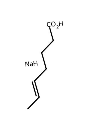 CC=CCCCC(=O)O.[NaH]